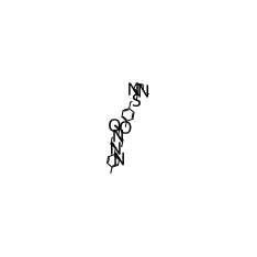 Cc1ccc(N2CCN(C(=O)Oc3ccc(CSc4nccn4C)cc3)CC2)nc1